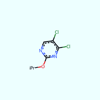 CC(C)Oc1ncc(Cl)c(Cl)n1